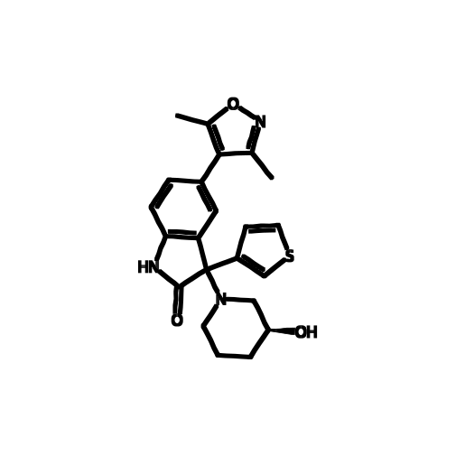 Cc1noc(C)c1-c1ccc2c(c1)C(c1ccsc1)(N1CCC[C@H](O)C1)C(=O)N2